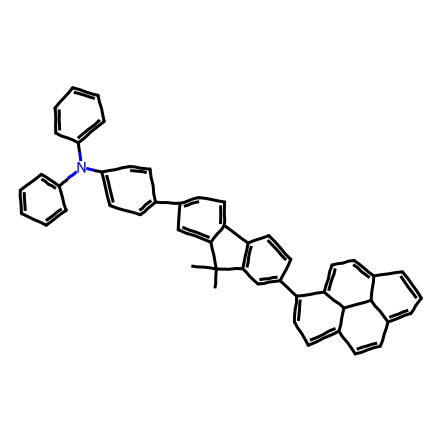 CC1(C)c2cc(C3=CC=C4C=CC5=CC=CC6=CC=C3C4C56)ccc2-c2ccc(-c3ccc(N(c4ccccc4)c4ccccc4)cc3)cc21